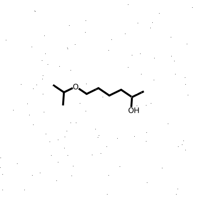 CC(O)CCCCOC(C)C